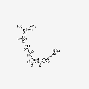 CCC(=O)OC[C@H](COP(=O)(O)OCCNC(=O)CCC(=O)NCC(=O)N[C@@H](CNC(=O)c1ccc2c(cnn2CCCNc2ncc[nH]2)c1)C(=O)O)OC(=O)CC